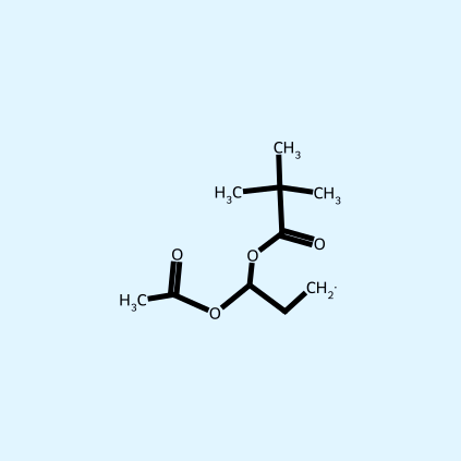 [CH2]CC(OC(C)=O)OC(=O)C(C)(C)C